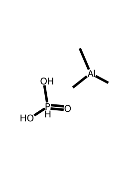 O=[PH](O)O.[CH3][Al]([CH3])[CH3]